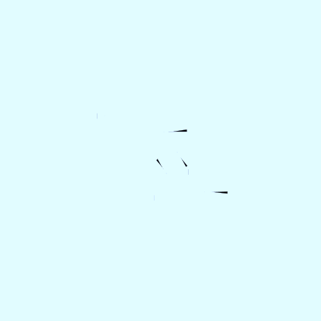 C[C@@]12CCC[C@H]1[C@@H]1CCC3C(O)CC=C[C@]3(C)[C@@H]1CC2